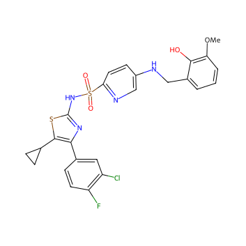 COc1cccc(CNc2ccc(S(=O)(=O)Nc3nc(-c4ccc(F)c(Cl)c4)c(C4CC4)s3)nc2)c1O